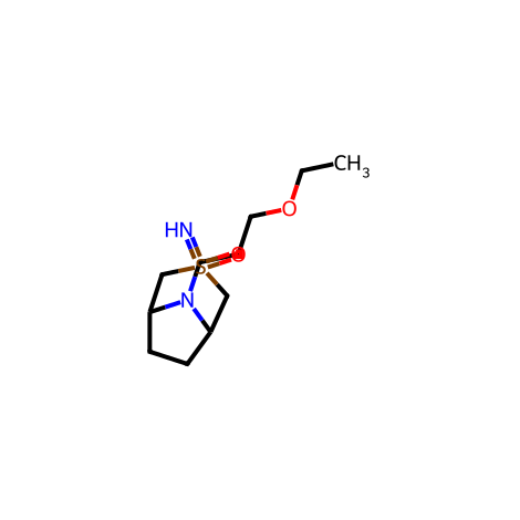 CCOCCCN1C2CCC1CS(=N)(=O)C2